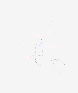 CC[Si](CC)(CC)O[C@]1(C)C[N+]([O-])(C(=O)OC(C)(C)C)[C@@H]1c1cccs1